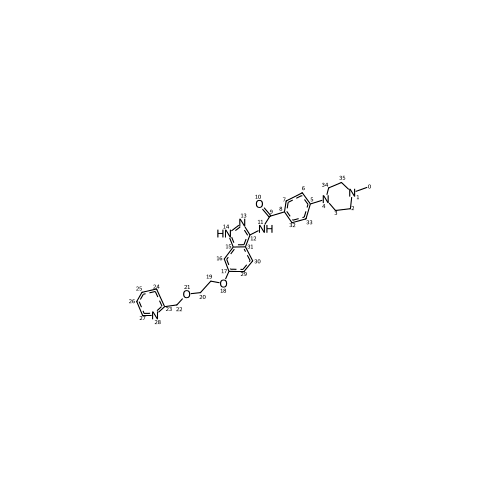 CN1CCN(c2ccc(C(=O)Nc3n[nH]c4cc(OCCOCc5ccccn5)ccc34)cc2)CC1